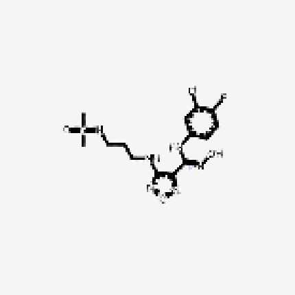 CS(C)(=O)=NCCCNc1nonc1/C(=N/O)Nc1ccc(F)c(Cl)c1